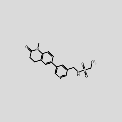 CN1C(=O)CCc2cc(-c3cncc(CNS(=O)(=O)CC(F)(F)F)c3)ccc21